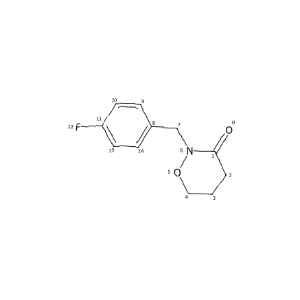 O=C1CCCON1Cc1ccc(F)cc1